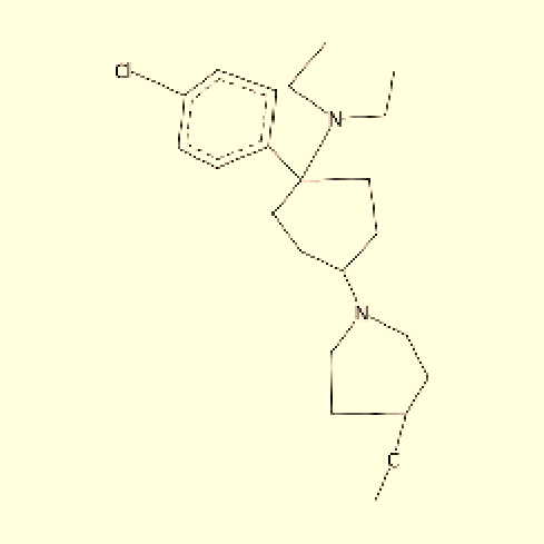 CCC1CCN(C2CCC(c3ccc(Cl)cc3)(N(CC)CC)CC2)CC1